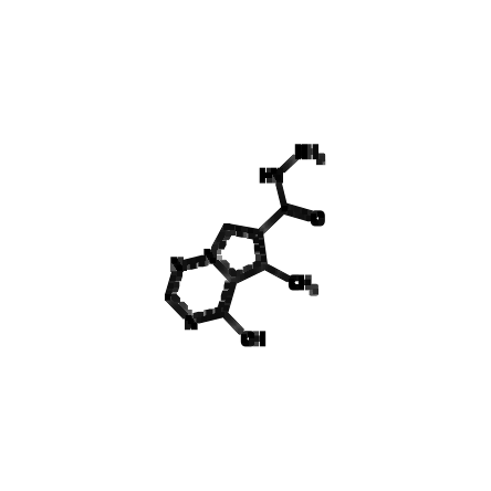 Cc1c(C(=O)NN)cn2ncnc(O)c12